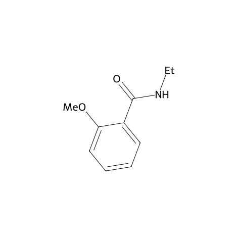 CCNC(=O)c1ccccc1OC